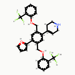 FC(F)(F)c1ccccc1OCc1cc(-c2ccco2)c(COc2ccccc2C(F)(F)F)cc1C1=CCNCC1